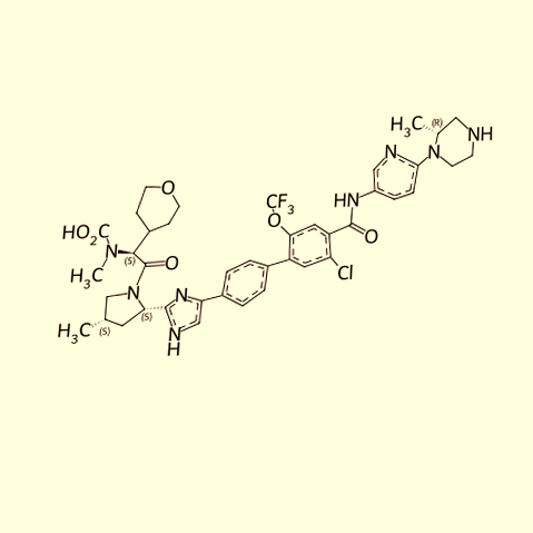 C[C@H]1C[C@@H](c2nc(-c3ccc(-c4cc(Cl)c(C(=O)Nc5ccc(N6CCNC[C@H]6C)nc5)cc4OC(F)(F)F)cc3)c[nH]2)N(C(=O)[C@H](C2CCOCC2)N(C)C(=O)O)C1